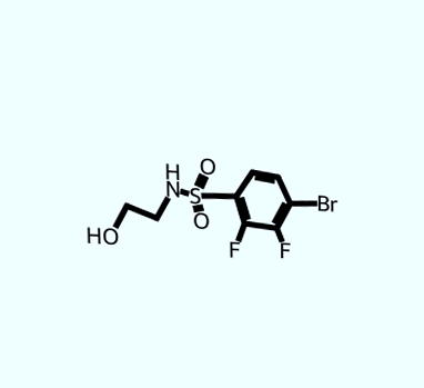 O=S(=O)(NCCO)c1ccc(Br)c(F)c1F